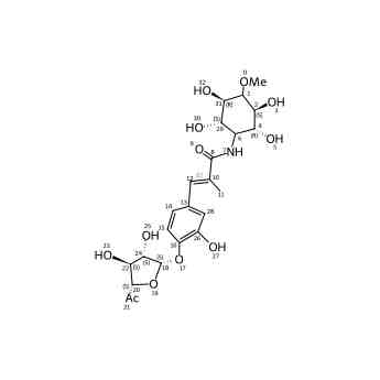 COC1[C@@H](O)[C@H](O)C(NC(=O)/C(C)=C/c2ccc(O[C@@H]3O[C@H](C(C)=O)[C@@H](O)[C@@H]3O)c(O)c2)[C@H](O)[C@H]1O